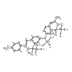 CC1=Nc2ccc(C(c3ccc4c(c3)C(C)(C(F)(F)F)OC(c3ccc(C)cc3)=N4)C(F)(F)F)cc2C(C)(C(F)(F)F)O1